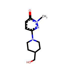 Cn1nc(N2CCC(CO)CC2)ccc1=O